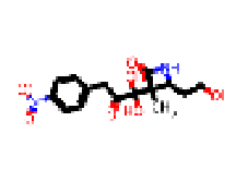 CC1(C(O)(O)C(=O)Cc2ccc([N+](=O)[O-])cc2)C(=O)NC1CCO